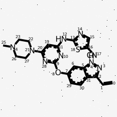 C=Cc1n[nH]c2cc(Oc3nc(Nc4ncc(C#N)s4)cc(N4CCN(C)CC4)n3)ccc12